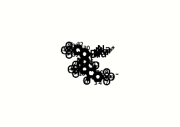 O=C1c2ccc(S(=O)(=O)[O-])cc2C(=O)c2c1cc(S(=O)(=O)[O-])c1nc3c(nc21)c(Br)cc1ccc(S(=O)(=O)[O-])cc13.[Na+].[Na+].[Na+]